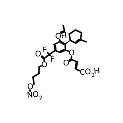 C=C(C)[C@@H]1CCC(C)=C[C@H]1c1c(O)cc(C(F)(F)C(=O)OCCCCO[N+](=O)[O-])cc1OC(=O)/C=C/C(=O)O